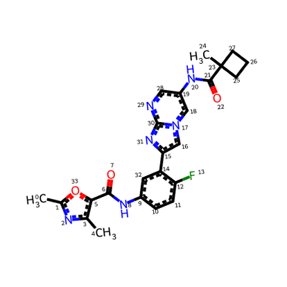 Cc1nc(C)c(C(=O)Nc2ccc(F)c(-c3cn4cc(NC(=O)C5(C)CCC5)cnc4n3)c2)o1